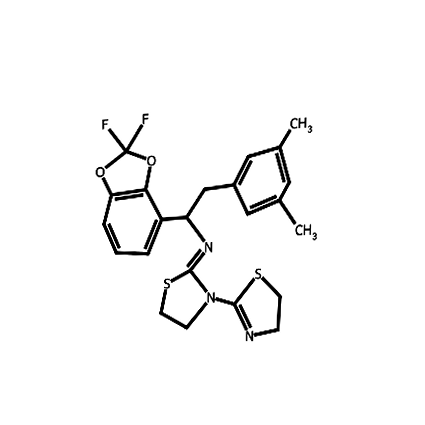 Cc1cc(C)cc(CC(N=C2SCCN2C2=NCCS2)c2cccc3c2OC(F)(F)O3)c1